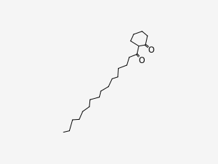 CCCCCCCCCCCCCCCC(=O)C1CCCCC1=O